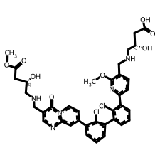 COC(=O)C[C@H](O)CNCc1cnc2cc(-c3cccc(-c4cccc(-c5ccc(CNC[C@@H](O)CC(=O)O)c(OC)n5)c4Cl)c3Cl)ccn2c1=O